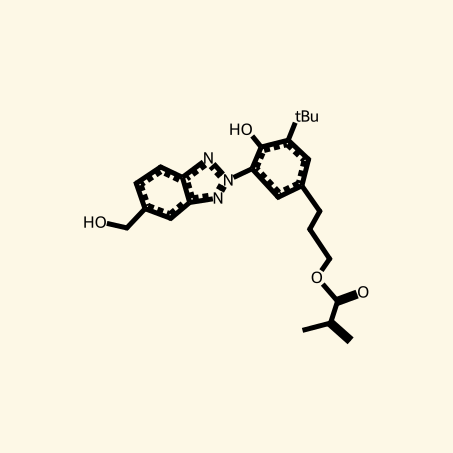 C=C(C)C(=O)OCCCc1cc(-n2nc3ccc(CO)cc3n2)c(O)c(C(C)(C)C)c1